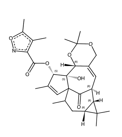 CC1=CC23C(=O)[C@@H](C=C4COC(C)(C)O[C@H]4[C@]2(O)[C@H]1OC(=O)c1noc(C)c1C)[C@H]1[C@@H](CC3C)C1(C)C